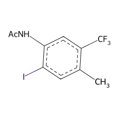 CC(=O)Nc1cc(C(F)(F)F)c(C)cc1I